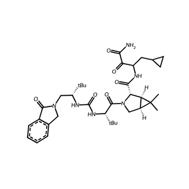 CC(C)(C)[C@H](NC(=O)N[C@H](CN1Cc2ccccc2C1=O)C(C)(C)C)C(=O)N1C[C@H]2[C@@H]([C@H]1C(=O)NC(CC1CC1)C(=O)C(N)=O)C2(C)C